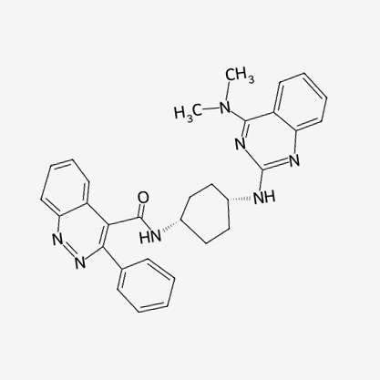 CN(C)c1nc(N[C@H]2CC[C@@H](NC(=O)c3c(-c4ccccc4)nnc4ccccc34)CC2)nc2ccccc12